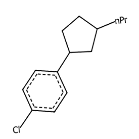 CCCC1CCC(c2ccc(Cl)cc2)C1